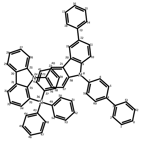 c1ccc(-c2ccc(-n3c4ccc(-c5ccccc5)cc4c4cc(-n5c6ccccc6c6cccc([Si](c7ccccc7)(c7ccccc7)c7ccccc7)c65)ccc43)cc2)cc1